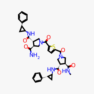 CNC(=O)[C@@H]1CN(C(=O)c2ccc(C(=O)N3C[C@@H](C(N)=O)[C@H](C(=O)N[C@H]4C[C@@H]4c4ccccc4)C3)s2)C[C@H]1C(=O)N[C@H]1C[C@@H]1c1ccccc1